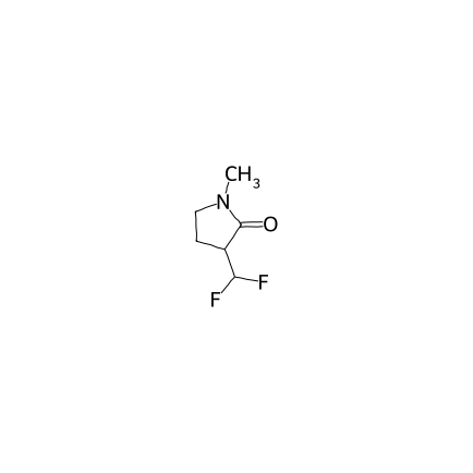 CN1CCC(C(F)F)C1=O